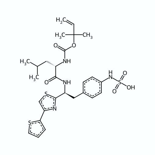 C=CC(C)(C)OC(=O)N[C@@H](CC(C)C)C(=O)N[C@@H](Cc1ccc(NS(=O)(=O)O)cc1)c1nc(-c2cccs2)cs1